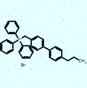 CCCc1ccc(-c2ccc(C[P+](c3ccccc3)(c3ccccc3)c3ccccc3)cc2)cc1.[Br-]